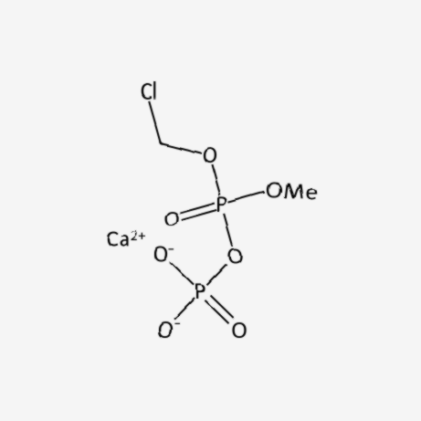 COP(=O)(OCCl)OP(=O)([O-])[O-].[Ca+2]